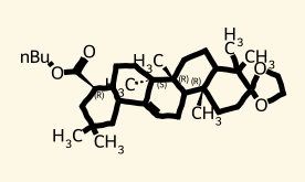 CCCCOC(=O)[C@@H]1CC(C)(C)CC2C3=CCC4[C@@]5(C)CCC6(OCCO6)C(C)(C)C5CC[C@@]4(C)[C@]3(C)CCC21